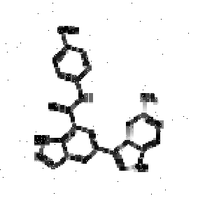 COc1ccc(NC(=O)c2cc(-c3c[nH]c4cnc(N)cc34)cc3cn[nH]c23)cc1